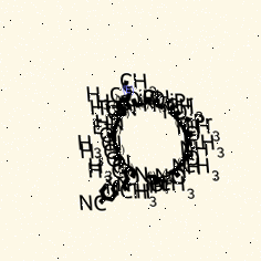 C/C=C/C[C@@H](C)[C@@H](O)[C@H]1C(=O)N[C@@H](CC)C(=O)N(C)[C@H](C)C(=O)N(C)[C@@H]([C@H](C)CN(C)CN2CCC(C#N)CC2)C(=O)N[C@@H](C(C)C)C(=O)N(C)[C@@H](CC(C)C)C(=O)N[C@@H](C)C(=O)N[C@H](C)C(=O)N(C)[C@@H](CC(C)C)C(=O)N(C)[C@@H](CC(C)C)C(=O)N(C)[C@@H](C(C)C)C(=O)N1C